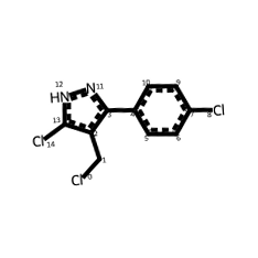 ClCc1c(-c2ccc(Cl)cc2)n[nH]c1Cl